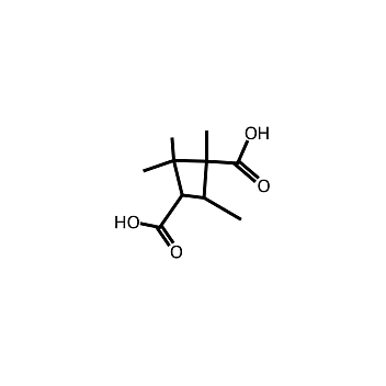 CC1C(C(=O)O)C(C)(C)C1(C)C(=O)O